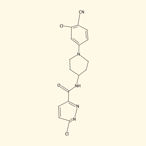 N#Cc1ccc(N2CCC(NC(=O)c3ccc(Cl)nn3)CC2)cc1Cl